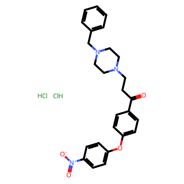 Cl.Cl.O=C(CCN1CCN(Cc2ccccc2)CC1)c1ccc(Oc2ccc([N+](=O)[O-])cc2)cc1